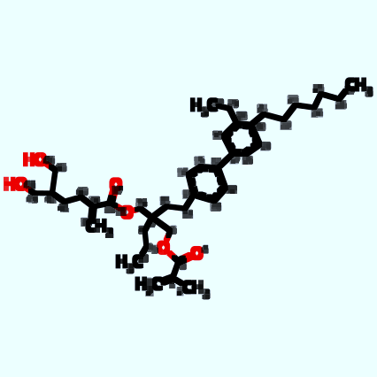 C=C(C)C(=O)OCC(CCC)(CCc1ccc(-c2ccc(CCCCCCC)c(CC)c2)cc1)COC(=O)C(=C)CCC(CO)CO